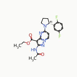 CCOC(=O)c1c(NC(C)=O)nn2ccc(N3CCC[C@@H]3c3cc(F)ccc3F)nc12